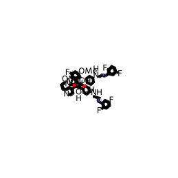 COc1cc(F)c2nccc(C(O)(C(O)[C@H]3CC[C@H](NC/C=C/c4cc(F)ccc4F)CC3)[C@@](O)([C@H]3CC[C@H](NC/C=C/c4cc(F)ccc4F)CC3)[C@H](O)c3ccnc4ccc(OC)nc34)c2c1